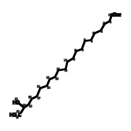 CCCCCCCCCCCCCCCCCCCCCCCCCCCCCC(O)C(=O)O